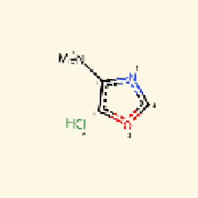 CNc1cocn1.Cl